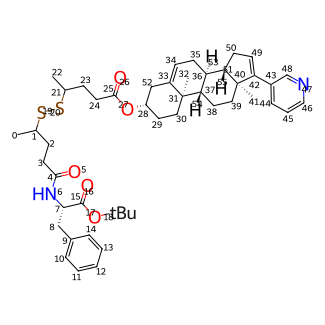 CC(CCC(=O)N[C@@H](Cc1ccccc1)C(=O)OC(C)(C)C)SSC(C)CCC(=O)O[C@H]1CC[C@@]2(C)C(=CC[C@@H]3[C@@H]2CC[C@]2(C)C(c4cccnc4)=CC[C@@H]32)C1